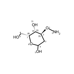 NO[C@H]1CC(O)O[C@H](CO)[C@@H]1O